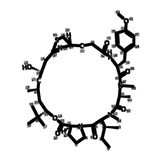 CC[C@H](C)C1C(=O)N2CCC[C@H]2C(=O)O[C@H](C(C)(C)C)C[C@@H](C)C[C@H](O)CC2=N[C@@H](CCC(=O)N[C@@H](Cc3ccc(OC)cc3)C(=O)N(C)[C@@H](C)C(=O)N1C)CS2